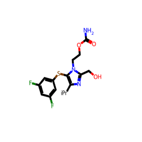 CC(C)c1nc(CO)n(CCOC(N)=O)c1Sc1cc(F)cc(F)c1